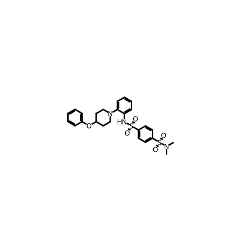 CN(C)S(=O)(=O)c1ccc(S(=O)(=O)Nc2ccccc2N2CCC(Oc3ccccc3)CC2)cc1